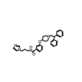 O=C(NCCCn1ccnc1)c1cccc(OC2CCN(CC(c3ccccc3)c3ccccc3)CC2)c1